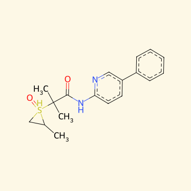 CC1C[SH]1(=O)C(C)(C)C(=O)Nc1ccc(-c2ccccc2)cn1